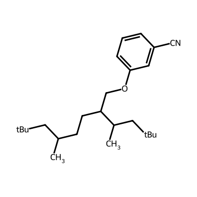 CC(CCC(COc1cccc(C#N)c1)C(C)CC(C)(C)C)CC(C)(C)C